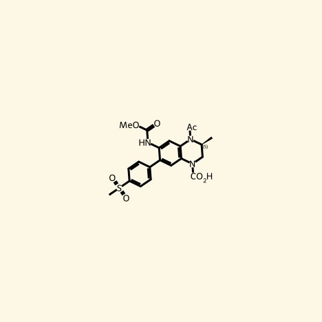 COC(=O)Nc1cc2c(cc1-c1ccc(S(C)(=O)=O)cc1)N(C(=O)O)C[C@H](C)N2C(C)=O